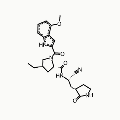 CC[C@@H]1C[C@@H](C(=O)N[C@H](C#N)C[C@@H]2CCNC2=O)N(C(=O)c2cc3c(OC)cccc3[nH]2)C1